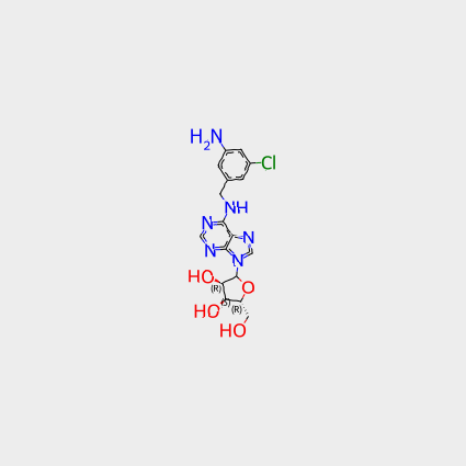 Nc1cc(Cl)cc(CNc2ncnc3c2ncn3C2O[C@H](CO)[C@@H](O)[C@H]2O)c1